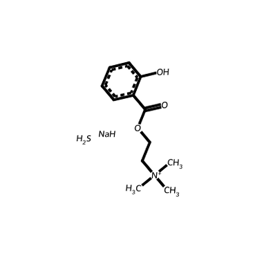 C[N+](C)(C)CCOC(=O)c1ccccc1O.S.[NaH]